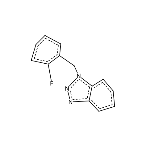 Fc1ccccc1Cn1nnc2ccccc21